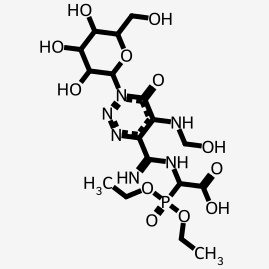 CCOP(=O)(OCC)C(NC(=N)c1nnn(C2OC(CO)C(O)C(O)C2O)c(=O)c1NCO)C(=O)O